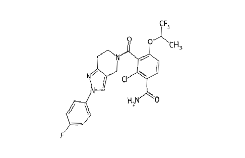 CC(Oc1ccc(C(N)=O)c(Cl)c1C(=O)N1CCc2nn(-c3ccc(F)cc3)cc2C1)C(F)(F)F